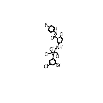 O=CC1(CNc2ccc(Cl)c(C(=O)Nc3ccc(F)cc3)c2)C(c2cc(Cl)cc(Br)c2)C1(Cl)Cl